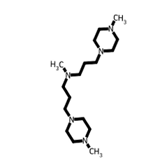 CN(CCCN1CCN(C)CC1)CCCN1CCN(C)CC1